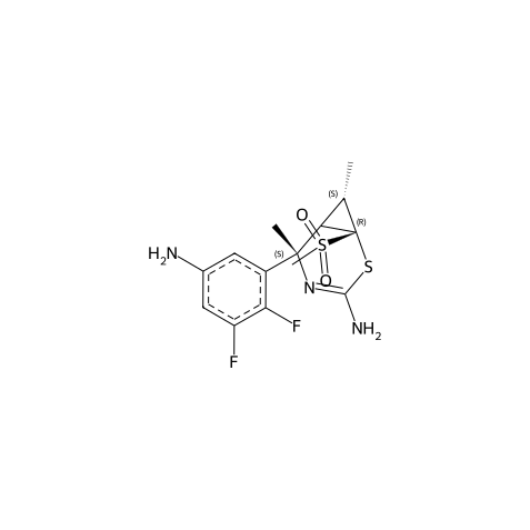 C[C@H]1C2[C@@]1(S(C)(=O)=O)SC(N)=N[C@]2(C)c1cc(N)cc(F)c1F